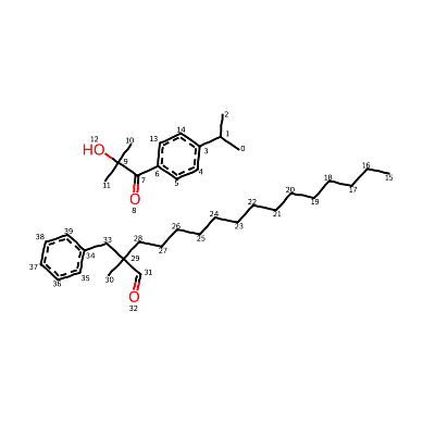 CC(C)c1ccc(C(=O)C(C)(C)O)cc1.CCCCCCCCCCCCCCC(C)(C=O)Cc1ccccc1